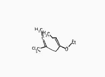 C=C=C(CC(=CC)OCC)C(Cl)(Cl)Cl